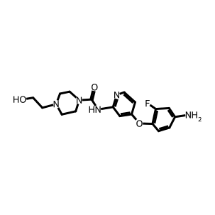 Nc1ccc(Oc2ccnc(NC(=O)N3CCN(CCO)CC3)c2)c(F)c1